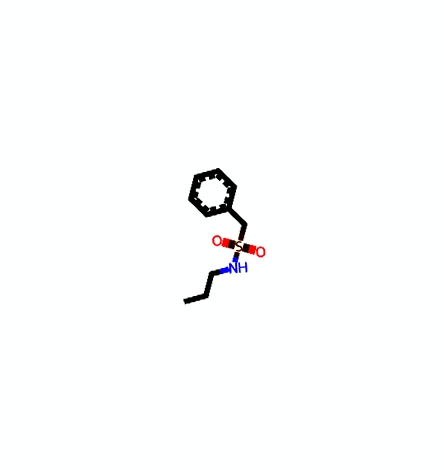 CCCNS(=O)(=O)Cc1ccccc1